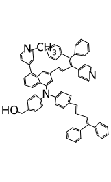 Cc1cc(-c2cccc3c(N(c4ccc(/C=C/C=C(c5ccccc5)c5ccccc5)cc4)c4ccc(CO)cc4)cc(/C=C/C(=C(c4ccccc4)c4ccccc4)c4ccncc4)cc23)ccn1